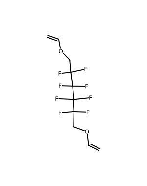 C=COCC(F)(F)C(F)(F)C(F)(F)C(F)(F)COC=C